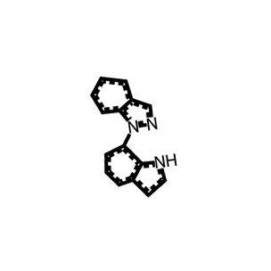 c1cc(-n2ncc3ccccc32)c2[nH]ccc2c1